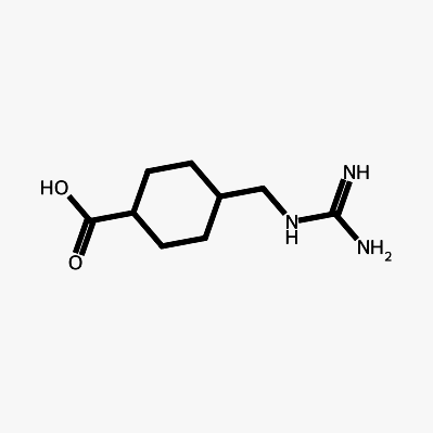 N=C(N)NCC1CCC(C(=O)O)CC1